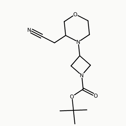 CC(C)(C)OC(=O)N1CC(N2CCOCC2CC#N)C1